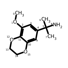 COc1cc(C(C)(C)N)cc2c1OCCO2